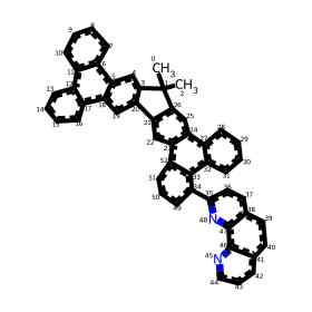 CC1(C)c2cc3c4ccccc4c4ccccc4c3cc2-c2cc3c(cc21)c1ccccc1c1c(-c2ccc4ccc5cccnc5c4n2)cccc31